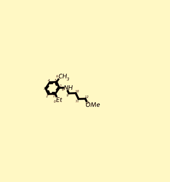 CCc1cccc(C)c1NCCCCOC